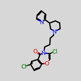 O=C1c2cc(Cl)ccc2OC=C(Cl)N1CCCCN1CCCC(c2ccccn2)C1